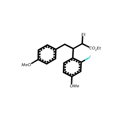 CCOC(=O)C(CC)C(Cc1ccc(OC)cc1)c1ccc(OC)cc1F